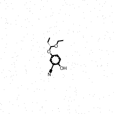 CCO[C@@H](CC)Oc1ccc(O)c(C#N)c1